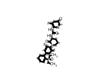 CCP(=O)(CC)c1ccccc1-c1cc(F)c(N2CCC[C@@H](NC(=O)Nc3ncc(Cl)cc3F)C2=O)c(F)c1